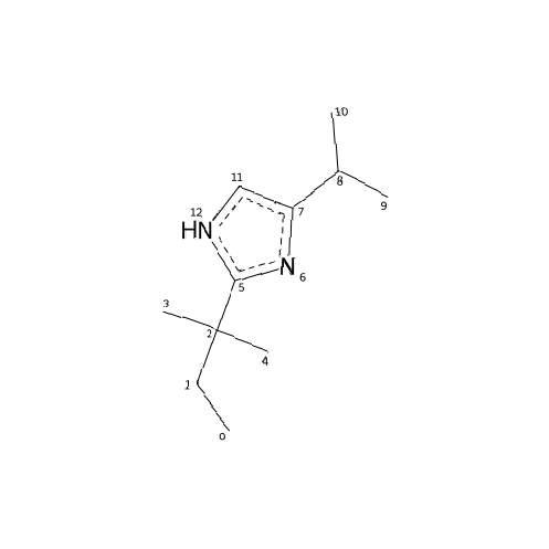 CCC(C)(C)c1nc(C(C)C)c[nH]1